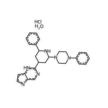 Cl.O.c1ccc(C2CC(c3ncc4nccc-4[nH]3)CC(N3CCN(c4ccccc4)CC3)N2)cc1